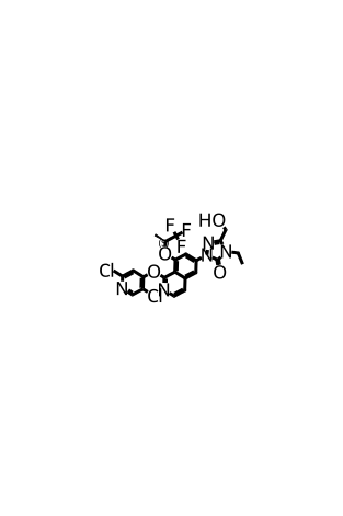 CCn1c(CO)nn(-c2cc(O[C@@H](C)C(F)(F)F)c3c(Oc4cc(Cl)ncc4Cl)nccc3c2)c1=O